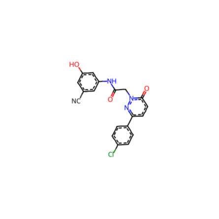 N#Cc1cc(O)cc(NC(=O)Cn2nc(-c3ccc(Cl)cc3)ccc2=O)c1